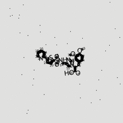 COc1ccc(C[C@@H](C(=O)O)n2cc(CNS(=O)(=O)c3ccc(-c4ccccn4)s3)nn2)cc1OC